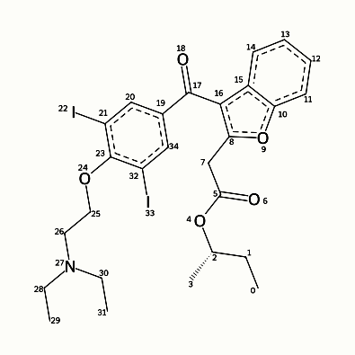 CC[C@H](C)OC(=O)Cc1oc2ccccc2c1C(=O)c1cc(I)c(OCCN(CC)CC)c(I)c1